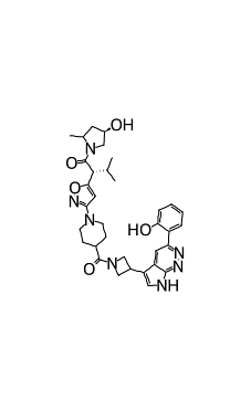 CC(C)[C@@H](C(=O)N1C[C@H](O)CC1C)c1cc(N2CCC(C(=O)N3CC(c4c[nH]c5nnc(-c6ccccc6O)cc45)C3)CC2)no1